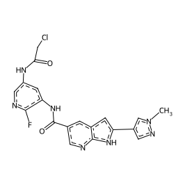 Cn1cc(-c2cc3cc(C(=O)Nc4cc(NC(=O)CCl)cnc4F)cnc3[nH]2)cn1